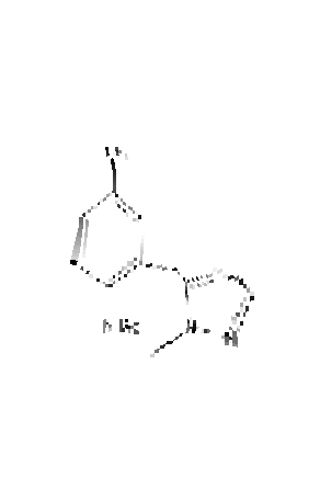 CC(=O)Nc1ccc(C(F)(F)F)cc1-c1ccnn1C